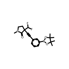 CN1CCC(C#Cc2cccc(B3OC(C)(C)C(C)(C)O3)c2)(C(F)F)C1=O